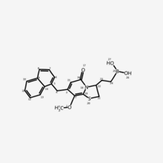 COc1c(Cc2cccc3ccccc23)cc(=O)n2c1SCC2CCB(O)O